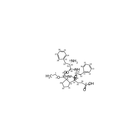 CCOC(=O)C1(NC(=O)[C@H](Cc2ccccc2)NC(=O)[C@@H](N)Cc2ccccc2)CCCC1C(=O)CCC(=O)O